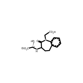 CCC[C@H](NC1CCc2ccccc2N(CC(=O)O)C1=O)C(=O)OCC